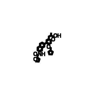 CC(Cc1ccc(OCC2CCCC2)c(-c2ccc3ccc(NC(=O)c4ccco4)cc3c2)c1)C(=O)O